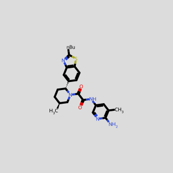 CCCCc1nc2cc([C@H]3CC[C@H](C)CN3C(=O)C(=O)Nc3cnc(N)c(C)c3)ccc2s1